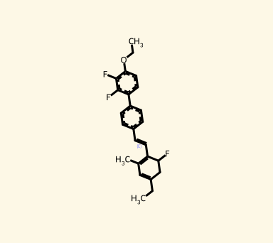 CCOc1ccc(-c2ccc(/C=C/C3=C(C)C=C(CC)CC3F)cc2)c(F)c1F